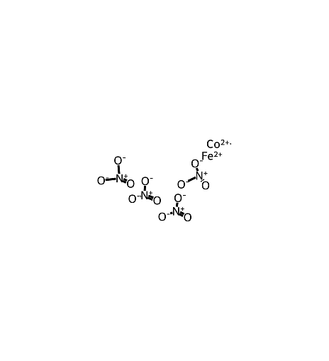 O=[N+]([O-])[O-].O=[N+]([O-])[O-].O=[N+]([O-])[O-].O=[N+]([O-])[O-].[Co+2].[Fe+2]